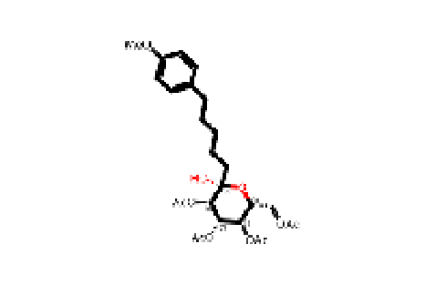 COc1ccc(CCCCC[C@@]2(O)O[C@H](COC(C)=O)[C@@H](OC(C)=O)[C@H](OC(C)=O)[C@H]2OC(C)=O)cc1